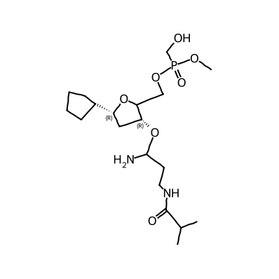 COP(=O)(CO)OCC1O[C@@H](C2CCCC2)C[C@H]1OC(N)CCNC(=O)C(C)C